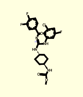 COC(=O)N[C@H]1CC[C@H](N/C(=N/C(=O)c2ccc(F)c(F)c2)Nc2cc(F)cc(Cl)c2)CC1